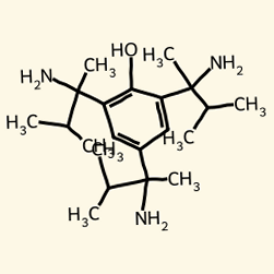 CC(C)C(C)(N)c1cc(C(C)(N)C(C)C)c(O)c(C(C)(N)C(C)C)c1